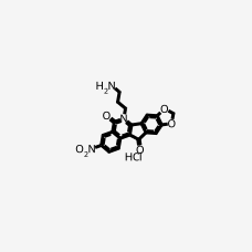 Cl.NCCCn1c2c(c3ccc([N+](=O)[O-])cc3c1=O)C(=O)c1cc3c(cc1-2)OCO3